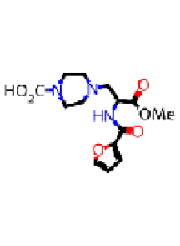 COC(=O)C(CN1CCN(C(=O)O)CC1)NC(=O)c1ccco1